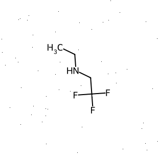 CCNCC(F)(F)F